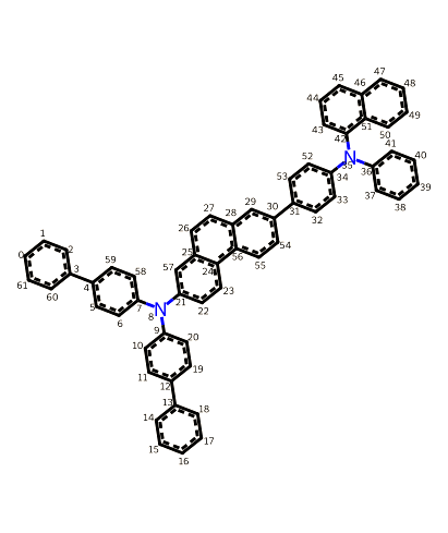 c1ccc(-c2ccc(N(c3ccc(-c4ccccc4)cc3)c3ccc4c(ccc5cc(-c6ccc(N(c7ccccc7)c7cccc8ccccc78)cc6)ccc54)c3)cc2)cc1